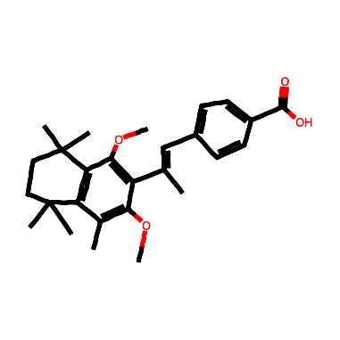 COc1c(C)c2c(c(OC)c1C(C)=Cc1ccc(C(=O)O)cc1)C(C)(C)CCC2(C)C